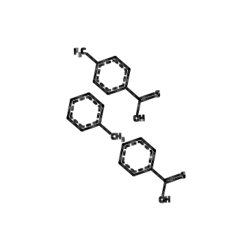 Cc1ccccc1.OC(=S)c1ccc(C(F)(F)F)cc1.OC(=S)c1ccccc1